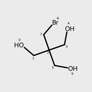 OCC(CO)(CO)CBr